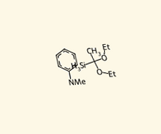 CCOC(C)([SiH3])OCC.CNc1ccccc1